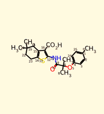 Cc1ccc(OC(C)(C)C(=O)Nc2sc3c(c2C(=O)O)CC(C)(C)CC3)cc1